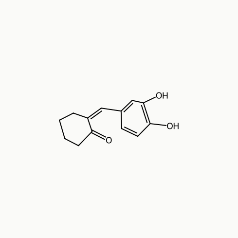 O=C1CCCCC1=Cc1ccc(O)c(O)c1